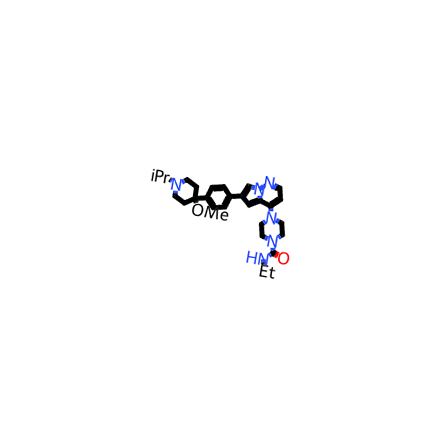 CCNC(=O)N1CCN(c2ccnn3cc(-c4ccc(C5(OC)CCN(C(C)C)CC5)cc4)cc23)CC1